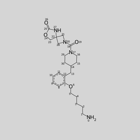 NCCCCCOc1ccccc1CC1CCN(C(=O)N2CC3(COC(=O)N3)C2)CC1